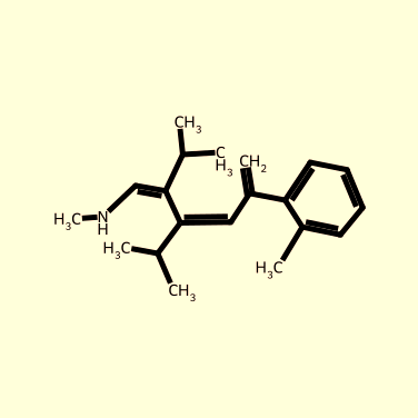 C=C(/C=C(\C(=C/NC)C(C)C)C(C)C)c1ccccc1C